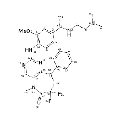 COc1cc(C(=O)NCCN(C)C)ccc1Nc1ncc2c(n1)N(c1ccccc1)CC(F)(F)C(=O)N2C